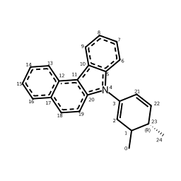 CC1C=C(n2c3ccccc3c3c4ccccc4ccc32)C=C[C@@H]1C